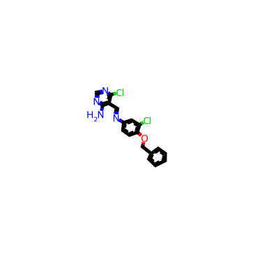 Nc1ncnc(Cl)c1/C=N/c1ccc(OCc2ccccc2)c(Cl)c1